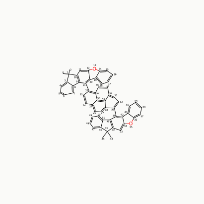 CC1(C)c2ccccc2-c2c1cc1oc3ccccc3c1c2-c1ccc2ccc3c(-c4c5c(cc6oc7ccccc7c46)C(C)(C)c4ccccc4-5)ccc4ccc1c2c43